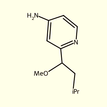 COC(CC(C)C)c1cc(N)ccn1